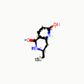 CC(C)(C)CC1Cc2nc(O)ccc2C(=O)N1